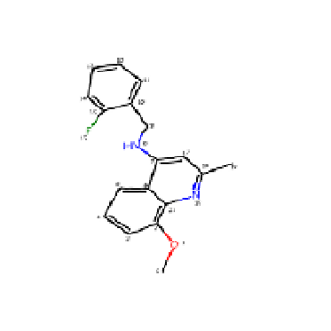 COc1cccc2c(NCc3ccccc3F)cc(C)nc12